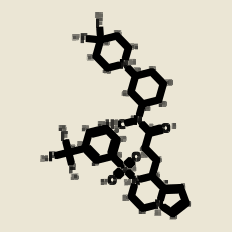 CN(C(=O)CCC1c2cccn2CCN1S(=O)(=O)c1cccc(C(F)(F)F)c1)C1CCCC(N2CCC(F)(F)CC2)C1